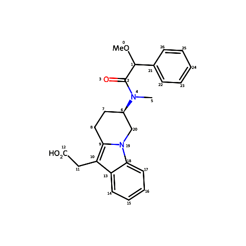 COC(C(=O)N(C)[C@@H]1CCc2c(CC(=O)O)c3ccccc3n2C1)c1ccccc1